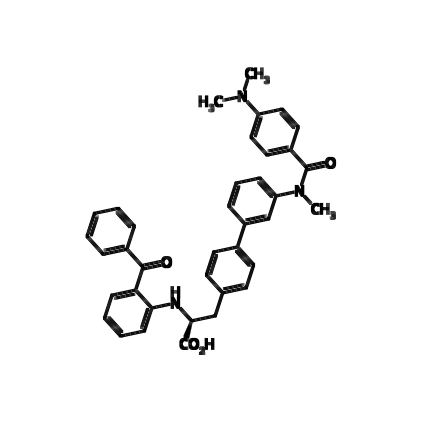 CN(C)c1ccc(C(=O)N(C)c2cccc(-c3ccc(C[C@H](Nc4ccccc4C(=O)c4ccccc4)C(=O)O)cc3)c2)cc1